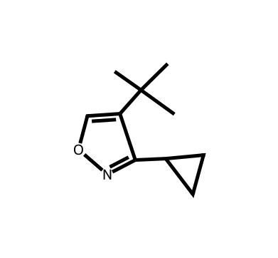 CC(C)(C)c1conc1C1CC1